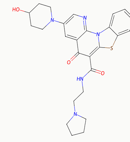 O=C(NCCN1CCCC1)c1c(=O)c2cc(N3CCC(O)CC3)cnc2n2c1sc1ccccc12